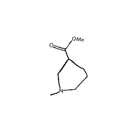 COC(=O)C1CCCN(C)C1